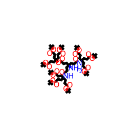 CC(C)(C)OC(=O)CCC(CCC(=O)OC(C)(C)C)(CCC(=O)OC(C)(C)C)NC(=O)CCC(N)(CCC(=O)NC(CCC(=O)OC(C)(C)C)(CCC(=O)OC(C)(C)C)CCC(=O)OC(C)(C)C)CCC(=O)OC(CCC(=O)OC(C)(C)C)(CCC(=O)OC(C)(C)C)CCC(=O)OC(C)(C)C